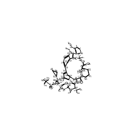 CCn1c(-c2cnccc2COC)c2c3cc(ccc31)-c1cc(O)cc(c1)C[C@H](NC(=O)[C@H](C(C)C)N(C)C(=O)CN(C)C(=O)[C@H]1[C@@H](C3CC3)N1[S+]([O-])C(C)(C)C)C(=O)N1CCC[C@H](N1)C(=O)OCC(C)(C)C2